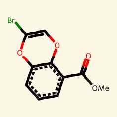 COC(=O)c1cccc2c1OC=C(Br)O2